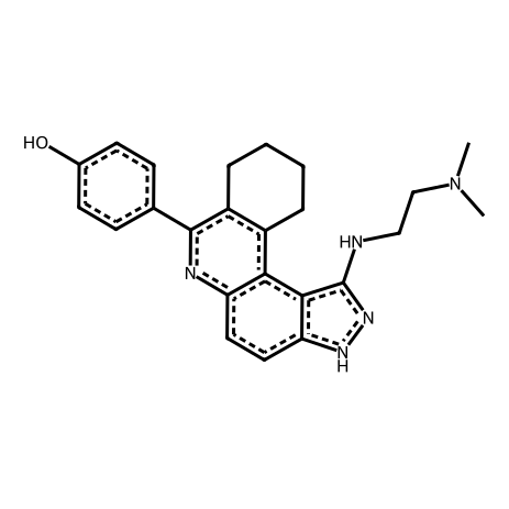 CN(C)CCNc1n[nH]c2ccc3nc(-c4ccc(O)cc4)c4c(c3c12)CCCC4